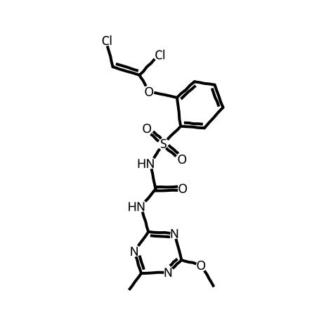 COc1nc(C)nc(NC(=O)NS(=O)(=O)c2ccccc2OC(Cl)=CCl)n1